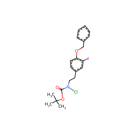 CC(C)(C)OC(=O)N(Cl)CCc1ccc(OCc2ccccc2)c(I)c1